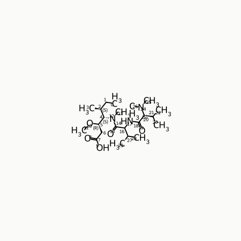 CC[C@H](C)[C@@H]([C@@H](CC(=O)O)OC)N(C)C(=O)C(NC(=O)[C@H](C(C)C)N(C)C)C(C)C